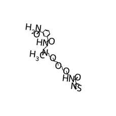 CN(CCNC(=O)c1cccc(C(N)=O)c1)CCOCCOCCOCCNC(=O)c1cscn1